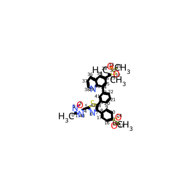 Cc1noc(-c2nc(-c3ccc(S(C)(=O)=O)cc3)c(-c3cccc(-c4cc(C(C)(C)S(C)(=O)=O)cc5cccnc45)c3)s2)n1